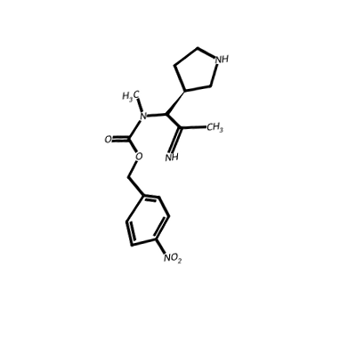 CC(=N)C([C@H]1CCNC1)N(C)C(=O)OCc1ccc([N+](=O)[O-])cc1